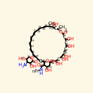 CCCNC(=O)C1[C@@H]2CC(O[C@@H]3OC[C@@H](O)[C@H](N)[C@@H]3O)/C=C/C=C/C=C/C=C/C=C/C=C/C=C/[C@H](C)[C@@H](O)C[C@H](C)OC(=O)CC(O)CC(O)CCC(O)C(O)CC(O)CC(O)(C[C@@H]1O)O2